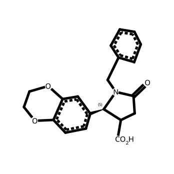 O=C(O)C1CC(=O)N(Cc2ccccc2)[C@@H]1c1ccc2c(c1)OCCO2